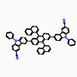 N#Cc1ccc2c(c1)c1cc(-c3ccc4c(-c5cccc6ccccc56)c5cc(-c6ccc7c(c6)c6cc(C#N)ccc6n7-c6ccccc6)ccc5c(-c5cccc6ccccc56)c4c3)ccc1n2-c1ccccc1